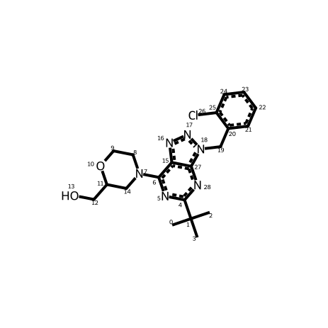 CC(C)(C)c1nc(N2CCOC(CO)C2)c2nnn(Cc3ccccc3Cl)c2n1